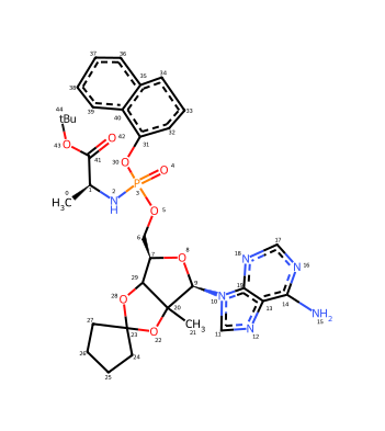 C[C@H](NP(=O)(OC[C@H]1O[C@@H](n2cnc3c(N)ncnc32)C2(C)OC3(CCCC3)OC12)Oc1cccc2ccccc12)C(=O)OC(C)(C)C